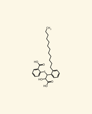 CCCCCCCCCCCCc1ccccc1C(Sc1ccccc1C(=O)O)C(O)C(=O)O